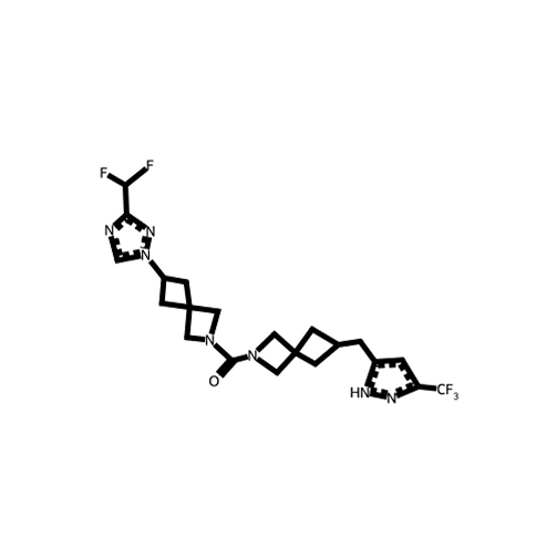 O=C(N1CC2(CC(Cc3cc(C(F)(F)F)n[nH]3)C2)C1)N1CC2(CC(n3cnc(C(F)F)n3)C2)C1